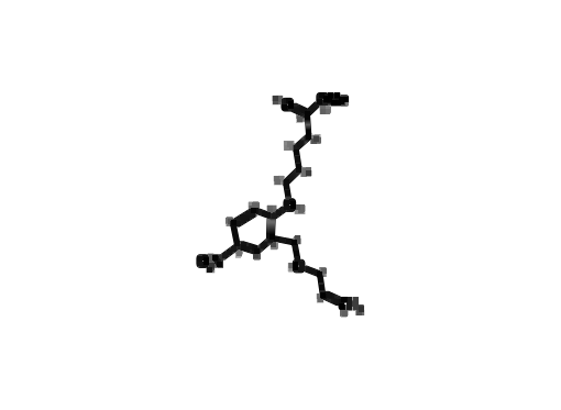 C=CCOCc1cc([N+](=O)[O-])ccc1OCCCCC(=O)OC